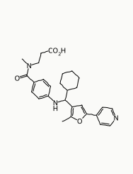 Cc1oc(-c2ccncc2)cc1C(Nc1ccc(C(=O)N(C)CCC(=O)O)cc1)C1CCCCC1